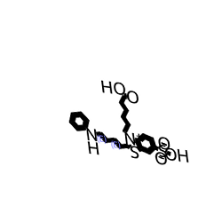 O=C(O)CCCCC[n+]1c(/C=C/C=C/Nc2ccccc2)sc2cc(S(=O)(=O)O)ccc21